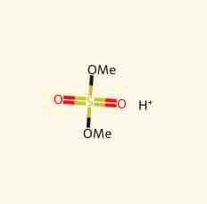 COS(=O)(=O)OC.[H+]